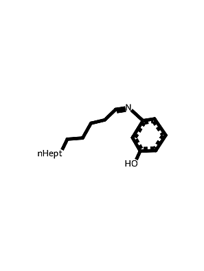 CCCCCCCCCCC/C=N\c1cccc(O)c1